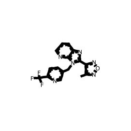 Cc1nonc1-c1nc2cccnc2n1Cc1ccc(C(F)(F)F)nc1